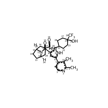 Cc1nccc(-c2cc(C(=O)N3[C@@H]4CC[C@H]3CC(C(=O)NC3CCC(O)(C(F)(F)F)CC3)C4)n[nH]2)c1C